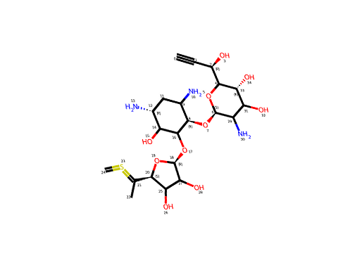 C#C[C@@H](O)C1O[C@H](O[C@@H]2C(N)C[C@@H](N)C(O)C2O[C@@H]2O[C@H](C(C)=S=C)C(O)C2O)C(N)C(O)[C@H]1O